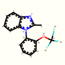 Cc1nc2ccccc2n1-c1ccccc1OC(F)(F)F